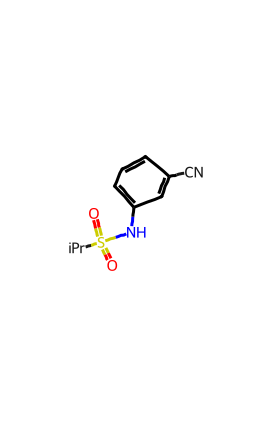 CC(C)S(=O)(=O)Nc1cccc(C#N)c1